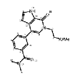 COCCn1cc(-c2cccc(C(=O)N(C)C)c2)c2cc[nH]c2c1=O